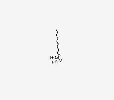 CCCCCCCCCOP(=O)(O)O